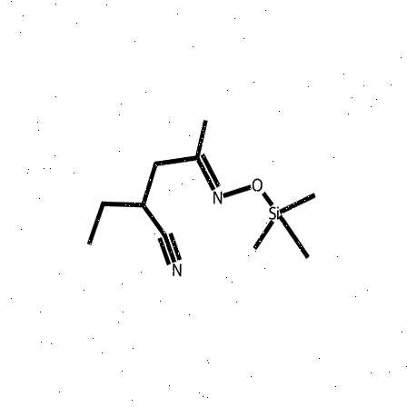 CCC(C#N)CC(C)=NO[Si](C)(C)C